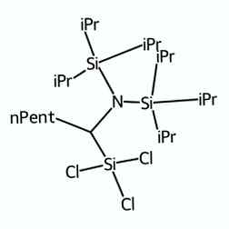 CCCCCC(N([Si](C(C)C)(C(C)C)C(C)C)[Si](C(C)C)(C(C)C)C(C)C)[Si](Cl)(Cl)Cl